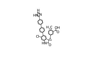 Cc1ccc(C2CC23C(=O)Nc2cc(Cl)c(-c4ccc(-c5ccc(-c6n[nH][nH]6)cc5)cc4)cc23)cc1C(=O)O